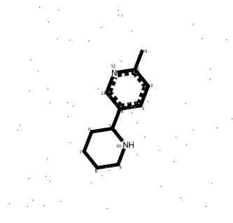 Cc1ccc(C2CCCCN2)cn1